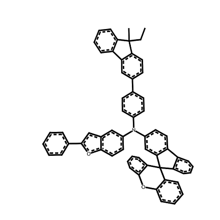 CCC1(C)c2ccccc2-c2cc(-c3ccc(N(c4ccc5c(c4)C4(c6ccccc6Oc6ccccc64)c4ccccc4-5)c4ccc5oc(-c6ccccc6)cc5c4)cc3)ccc21